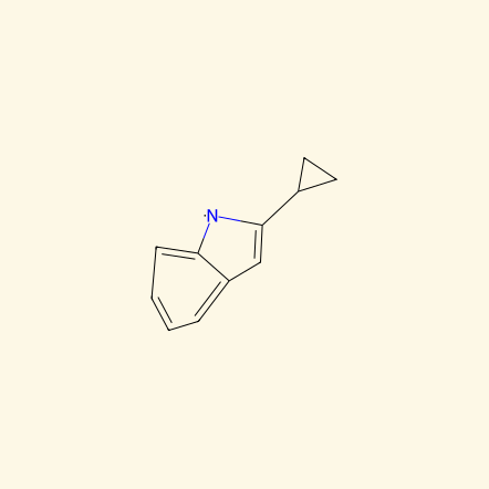 C1=C(C2CC2)[N]c2ccccc21